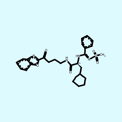 CS(=O)(=O)N=C(N[C@@H](CC1CCCCC1)C(=O)NCCCC(=O)c1nc2ccccc2o1)c1ccccc1